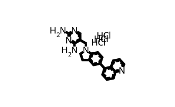 Cl.Cl.Cl.Nc1ncc(CN2CCc3cc(-c4cccc5ncccc45)ccc32)c(N)n1